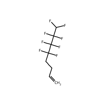 C=CCCC(F)(F)C(F)(F)C(F)(F)C(F)F